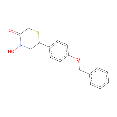 O=C1CSC(c2ccc(OCc3ccccc3)cc2)CN1O